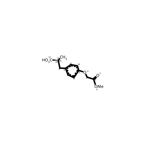 COC(=O)COc1ccc(C[C@H](C)C(=O)O)cc1